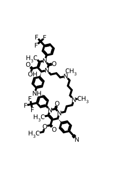 CCOC(=O)C1=C(C)N(c2cccc(C(F)(F)F)c2)C(=O)N(CCCN(C)CCCCN(C)CCCN2C(=O)N(c3cccc(C(F)(F)F)c3)C(C)=C(C(=O)O)[C@H]2c2ccc(N)cc2)[C@@H]1c1ccc(C#N)cc1